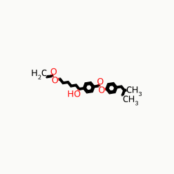 C=CC(=O)OCCCCCC(O)c1ccc(C(=O)Oc2ccc(CC(C)CC)cc2)cc1